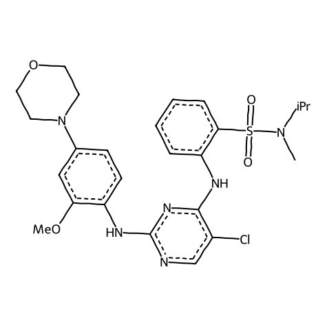 COc1cc(N2CCOCC2)ccc1Nc1ncc(Cl)c(Nc2ccccc2S(=O)(=O)N(C)C(C)C)n1